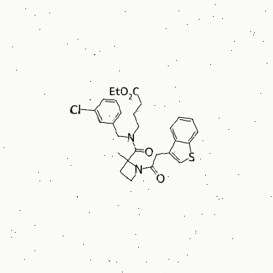 CCOC(=O)CCCN(Cc1cccc(Cl)c1)C(=O)C1(C)CCN1C(=O)Cc1csc2ccccc12